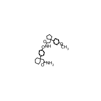 COc1ccc(C2(CC(=O)NOc3ccc(C4(CC(N)=O)CCCCC4)cc3)CCCC2)cc1